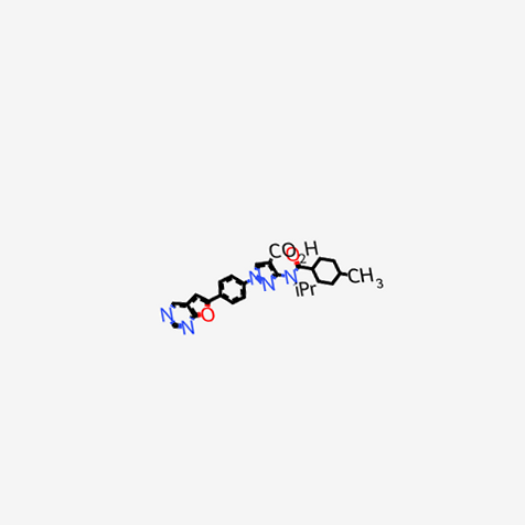 CC1CCC(C(=O)N(c2nn(-c3ccc(-c4cc5cncnc5o4)cc3)cc2C(=O)O)C(C)C)CC1